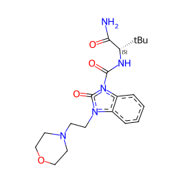 CC(C)(C)[C@H](NC(=O)n1c(=O)n(CCN2CCOCC2)c2ccccc21)C(N)=O